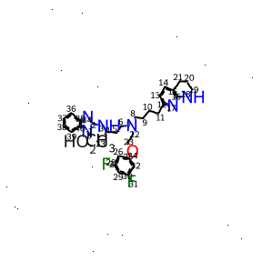 Cn1c(NC(CCN(CCCCc2ccc3c(n2)NCCC3)CCOc2cc(F)cc(F)c2)C(=O)O)nc2ccccc21